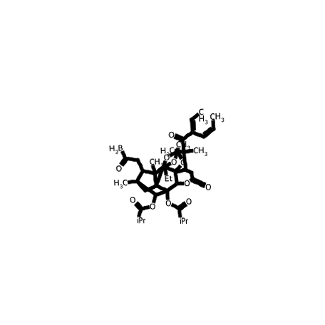 BC(=O)CC1C2(C)CC34OC5(C)OC6(C(C(C)(C)C(=O)C(/C=C\C)=C/C)CC(=O)OC6C3(OC(=O)C(C)C)C2OC(=O)C(C)C)C(CC)(O5)C14C